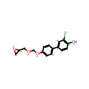 N#Cc1ccc(-c2ccc(OCOCC3CO3)cc2)cc1F